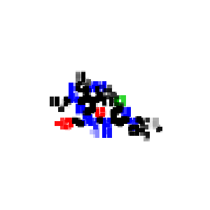 CCN(C)c1cc(NC(=O)NN(CCO)c2cc(C(C)C)c(C(C)=N)c(NC)n2)cc(Cl)n1